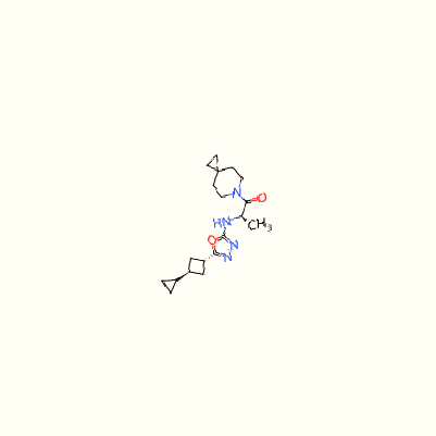 C[C@@H](Nc1nnc([C@H]2C[C@H](C3CC3)C2)o1)C(=O)N1CCC2(CC1)CC2